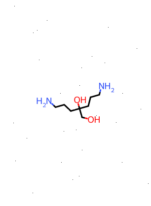 NCCCC(O)(CO)CCCN